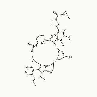 CCn1c(-c2cnccc2COC)c2c3cc(ccc31)-c1cc(O)cc(c1)C[C@H](NC(=O)C(C(C)C)N(C)C(=O)[C@H]1CCN(C(=O)N3C[C@H]3C)C1)C(=O)N1CCC[C@H](N1)C(=O)OCC(C)(C)C2